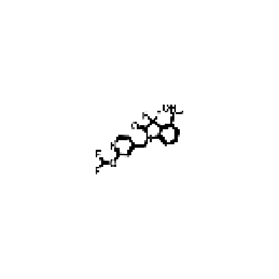 C[C@H](O)c1cccc2c1C(F)(F)C(=O)N2Cc1ccnc(OC(F)F)c1